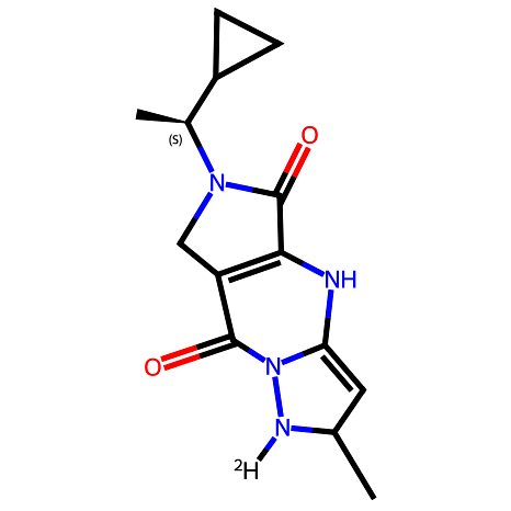 [2H]N1C(C)C=C2NC3=C(CN([C@@H](C)C4CC4)C3=O)C(=O)N21